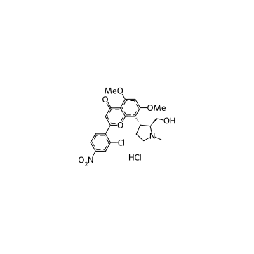 COc1cc(OC)c2c(=O)cc(-c3ccc([N+](=O)[O-])cc3Cl)oc2c1[C@H]1CCN(C)[C@@H]1CO.Cl